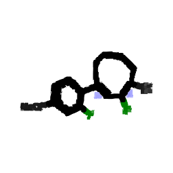 CC/C1=C(F)/C=C(/c2ccc(OC)cc2F)CC=CC1